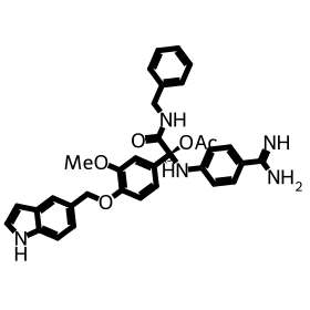 COc1cc([C@](Nc2ccc(C(=N)N)cc2)(OC(C)=O)C(=O)NCc2ccccc2)ccc1OCc1ccc2[nH]ccc2c1